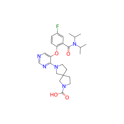 CC(C)N(C(=O)c1cc(F)ccc1Oc1cncnc1N1CCC2(CCN(C(=O)O)C2)C1)C(C)C